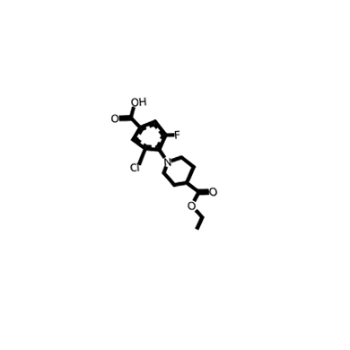 CCOC(=O)C1CCN(c2c(F)cc(C(=O)O)cc2Cl)CC1